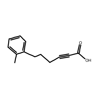 Cc1ccccc1CCCC#CC(=O)O